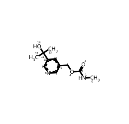 CNC(=O)OCc1cncc(C(C)(C)O)c1